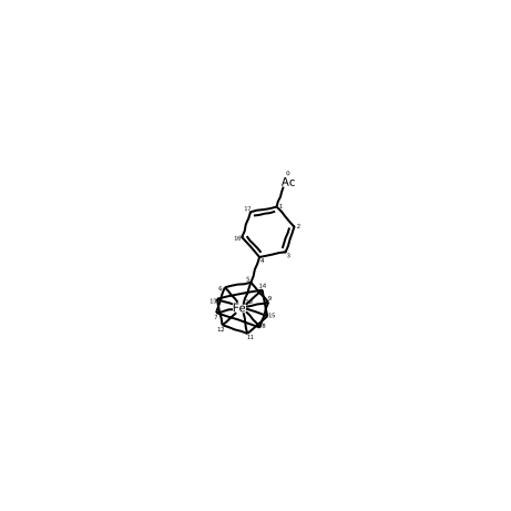 CC(=O)c1ccc([C]23[CH]4[CH]5[CH]6[CH]2[Fe]56432789[CH]3[CH]2[CH]7[CH]8[CH]39)cc1